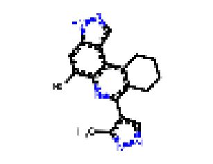 Cc1n[nH]cc1-c1nc2c(C#N)cc3[nH]ncc3c2c2c1CCCC2